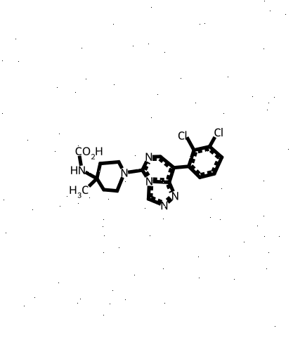 CC1(NC(=O)O)CCN(c2ncc(-c3cccc(Cl)c3Cl)c3nncn23)CC1